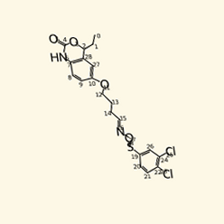 CCC1OC(=O)Nc2ccc(OCCCC=NOSc3ccc(Cl)c(Cl)c3)cc21